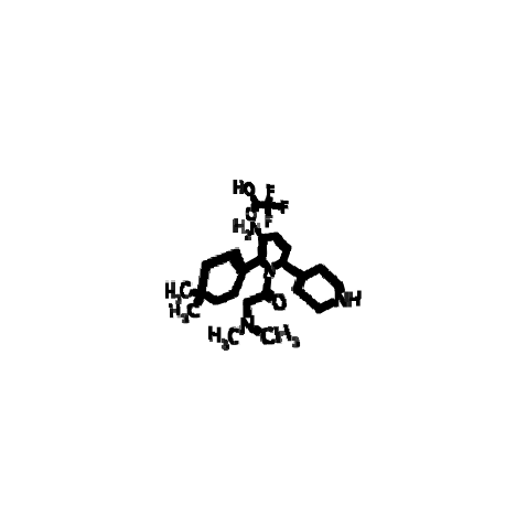 CN(C)CC(=O)N1C(C2=CCC(C)(C)CC2)=C(N)C=CC1C1CCNCC1.O=C(O)C(F)(F)F